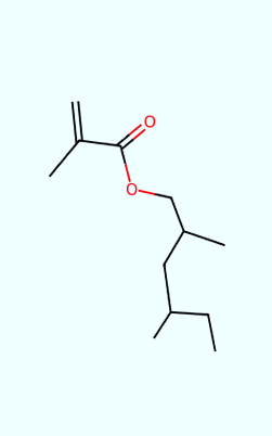 C=C(C)C(=O)OCC(C)CC(C)CC